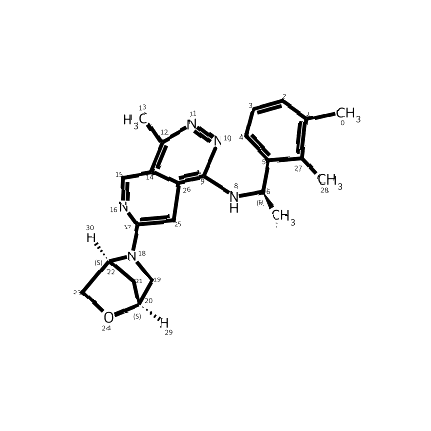 Cc1cccc([C@@H](C)Nc2nnc(C)c3cnc(N4C[C@@H]5C[C@H]4CO5)cc23)c1C